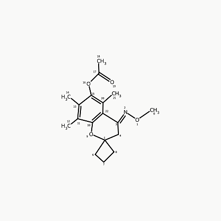 CON=C1CC2(CCC2)Oc2c(C)c(C)c(OC(C)=O)c(C)c21